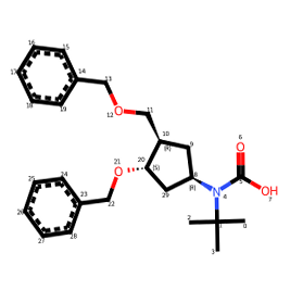 CC(C)(C)N(C(=O)O)[C@@H]1C[C@H](COCc2ccccc2)[C@@H](OCc2ccccc2)C1